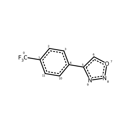 FC(F)(F)c1ccc(-c2conn2)cc1